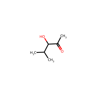 CC(=O)C(O)C(C)C